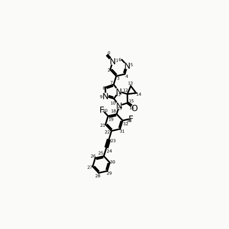 C=N/C=C(\C=N/C)c1cnc2n1C1(CC1)C(=O)N2c1c(F)cc(C#Cc2ccccc2)cc1F